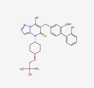 CCCc1c(Cc2ccc(-c3ccccc3C#N)c(OC)c2)c(=O)n([C@H]2CC[C@H](OCC(C)(C)O)CC2)c2ccnn12